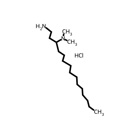 CCCCCCCCCCCCC(CCN)N(C)C.Cl